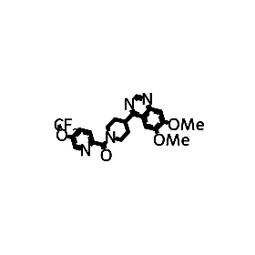 COc1cc2ncnc(C3CCN(C(=O)c4ccc(OC(F)(F)F)cn4)CC3)c2cc1OC